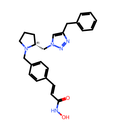 O=C(C=Cc1ccc(CN2CCC[C@@H]2Cn2cc(Cc3ccccc3)nn2)cc1)NO